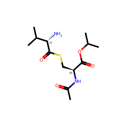 CC(=O)N[C@@H](CSC(=O)[C@@H](N)C(C)C)C(=O)OC(C)C